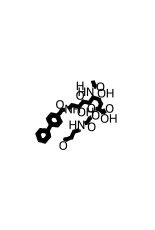 CC(=O)N[C@@H]1C(O)C[C@](OCC(=O)NCCCC=O)(C(=O)O)O[C@H]1[C@H](O)[C@H](O)CNC(=O)c1ccc(-c2ccccc2)cc1